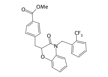 COC(=O)c1ccc(CC2Oc3ccccc3N(Cc3ccccc3C(F)(F)F)C2=O)cc1